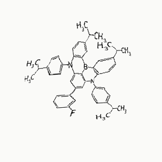 CC(C)c1ccc(N2c3ccc(C(C)C)cc3B3c4cc(C(C)C)ccc4N(c4ccc(C(C)C)cc4)c4cc(-c5cccc(F)c5)cc2c43)cc1